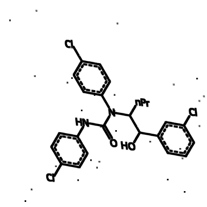 CCCC(C(O)c1cccc(Cl)c1)N(C(=O)Nc1ccc(Cl)cc1)c1ccc(Cl)cc1